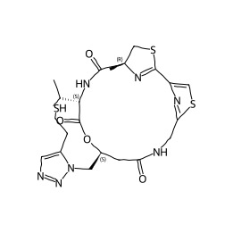 CC(C)[C@@H]1NC(=O)[C@]2(C)CSC(=N2)c2csc(n2)CNC(=O)C[C@@H](Cn2nncc2CCS)OC1=O